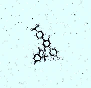 C[C@@H]1CN(c2cc(F)c(C3=CCN(C(=O)O)CC3)cc2NC(=O)c2ccc(F)cc2C(F)(F)F)CCN1C